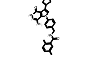 Cc1ccc(C)c(C(=O)NCc2ccc(-n3cc(C4CCCC4)c4c(=O)[nH]nc(N)c43)cc2)c1